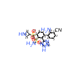 N#Cc1cccc(-c2ccc(S(=O)(=O)C3CNC3)c(S(N)(=O)=O)c2-c2nn[nH]n2)c1N